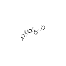 O=C(Nc1cc(-c2cccc(NCC3CCCOC3)n2)c(Cl)cn1)[C@H]1CCCNC1